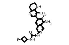 Cc1c(-c2cc3cc(NC(=O)N[C@H]4C[C@H](F)C4)ncc3c(N)c2F)cnc2c1NCCC2